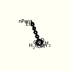 C=C(CO)C(=O)OCC(COC(=O)C(=C)CO)C1CCC(C2CCC(c3ccc(-c4ccc(CCCCC)c(CC)c4)cc3)CC2)CC1